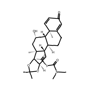 CN(C)C(=O)SC(=O)[C@@]12OC(C)(C)O[C@@H]1C[C@H]1[C@@H]3CCC4=CC(=O)C=C[C@]4(C)[C@H]3[C@@H](O)C[C@@]12C